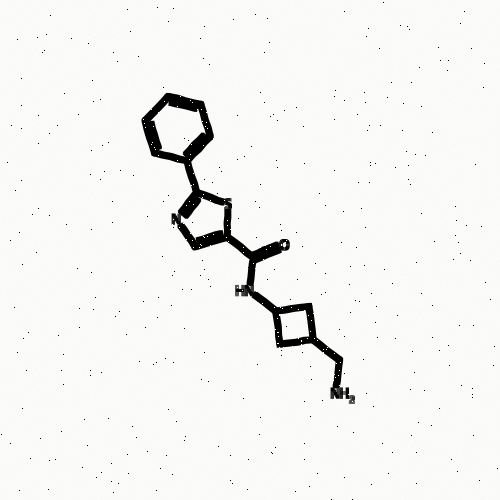 NCC1CC(NC(=O)c2cnc(-c3ccccc3)s2)C1